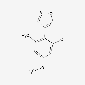 COc1cc(C)c(-c2cnoc2)c(Cl)c1